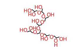 OCC(O)COCC(O)COC(COCC(O)CO)COC(CO)COCC(CO)OCC(CO)OCC(O)CO